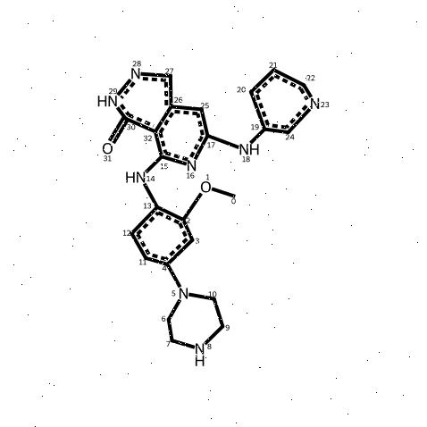 COc1cc(N2CCNCC2)ccc1Nc1nc(Nc2cccnc2)cc2cn[nH]c(=O)c12